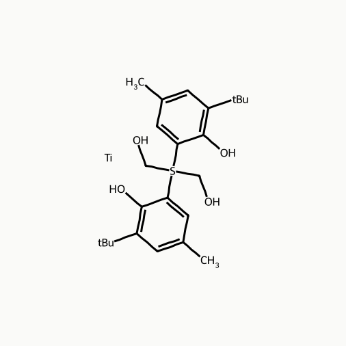 Cc1cc(C(C)(C)C)c(O)c(S(CO)(CO)c2cc(C)cc(C(C)(C)C)c2O)c1.[Ti]